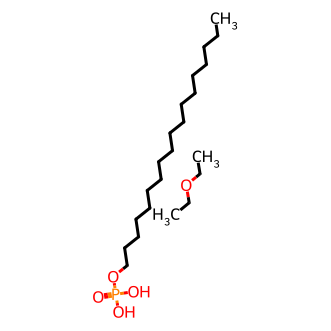 CCCCCCCCCCCCCCCCCCOP(=O)(O)O.CCOCC